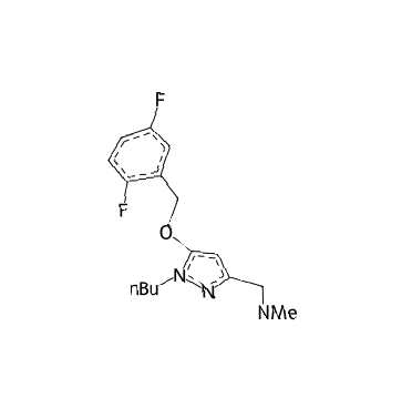 CCCCn1nc(CNC)cc1OCc1cc(F)ccc1F